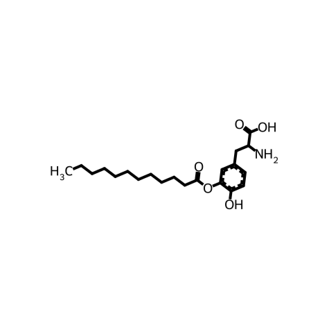 CCCCCCCCCCCC(=O)Oc1cc(CC(N)C(=O)O)ccc1O